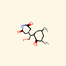 CC1CC(C)C(=O)C(C(CO)C2CC(=O)NC(=O)C2)C1